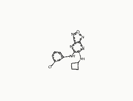 Clc1cccc(Nc2nc3nonc3nc2NC2CCC2)c1